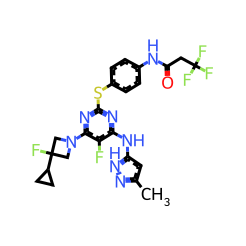 Cc1cc(Nc2nc(Sc3ccc(NC(=O)CC(F)(F)F)cc3)nc(N3CC(F)(C4CC4)C3)c2F)[nH]n1